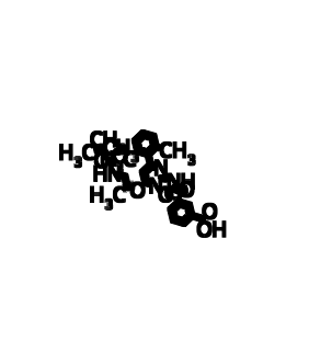 Cc1cccc(C)c1-c1cc(O[C@H](C)CNC(=O)OC(C)(C)C)nc(NS(=O)(=O)c2cccc(C(=O)O)c2)n1